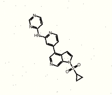 O=S(=O)(C1CC1)n1ccc2c(-c3ccnc(Nc4ccncn4)c3)cncc21